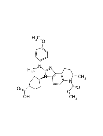 COC(=O)N1c2ccc3c(nc(N(C)c4ccc(OC)cc4)n3[C@H]3CC[C@H](C(=O)O)CC3)c2CC[C@@H]1C